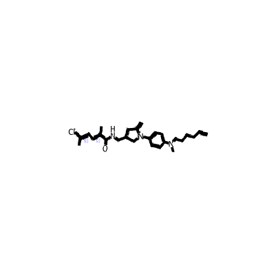 C=CCCCCN(C)c1ccc(N2CC(CNC(=O)/C(C)=C/C=C(\C)Cl)CC2=C)cc1